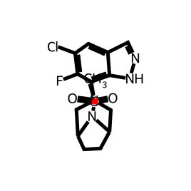 CS(=O)(=O)N1C2CCC1CN(c1c(F)c(Cl)cc3cn[nH]c13)C2